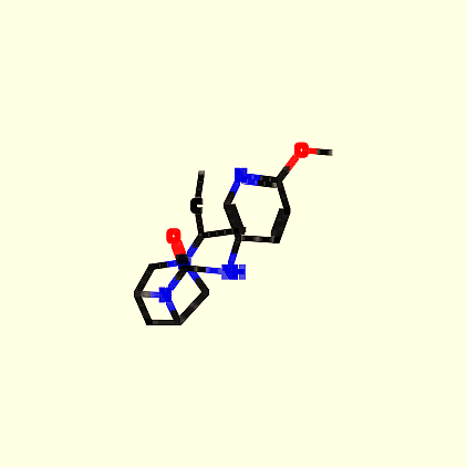 CCC(C)N1CC2CC(C1)N2C(=O)Nc1ccc(OC)nc1